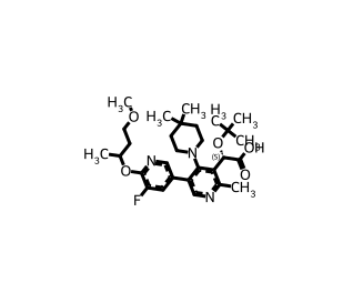 COCCC(C)Oc1ncc(-c2cnc(C)c([C@H](OC(C)(C)C)C(=O)O)c2N2CCC(C)(C)CC2)cc1F